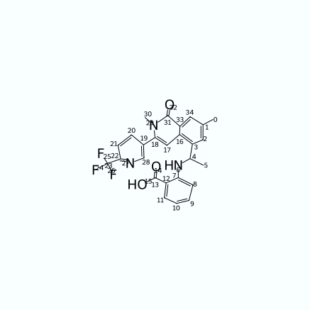 Cc1cc(C(C)Nc2ccccc2C(=O)O)c2cc(-c3ccc(C(F)(F)F)nc3)n(C)c(=O)c2c1